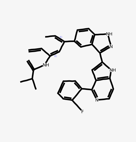 C=C/C(=C\C(=C/C)c1ccc2[nH]nc(-c3cc4c(-c5ccccc5F)nccc4[nH]3)c2c1)NC(=C)C(C)C